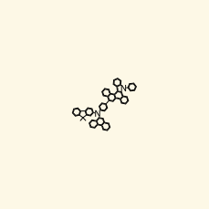 CC1(C)c2ccccc2-c2ccc(N(c3ccc(-c4cc5c6ccccc6c6c(c7ccccc7n6-c6ccccc6)c5c5ccccc45)cc3)c3cc4ccccc4c4ccccc34)cc21